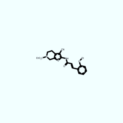 CCOC(=O)N1CCc2c(sc(NC(=O)C=Cc3ccccc3OCC)c2C#N)C1